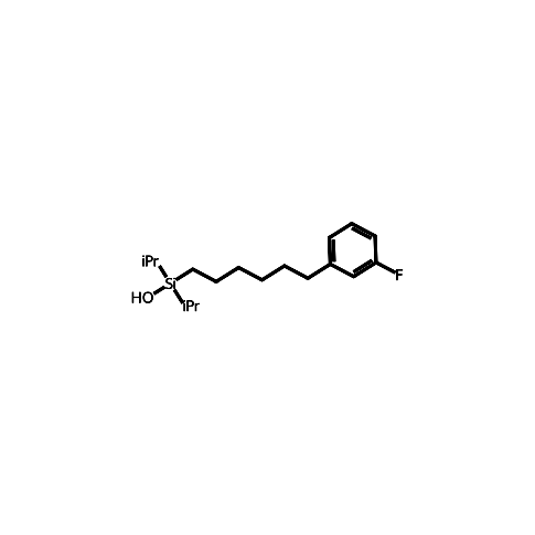 CC(C)[Si](O)(CCCCCCc1cccc(F)c1)C(C)C